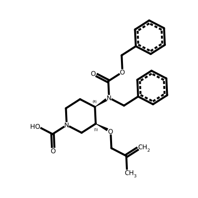 C=C(C)CO[C@H]1CN(C(=O)O)CC[C@H]1N(Cc1ccccc1)C(=O)OCc1ccccc1